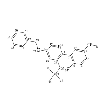 COc1ccc(F)c(-c2ncc(OCc3ccccc3)cc2CC(C)(C)C)c1